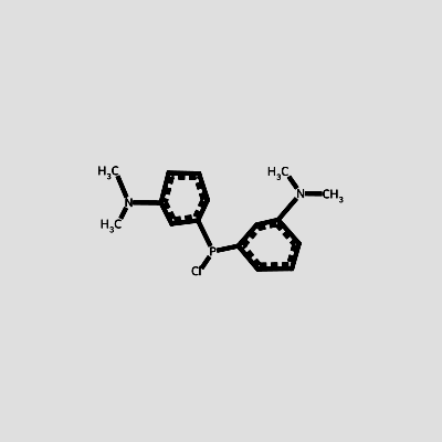 CN(C)c1cccc(P(Cl)c2cccc(N(C)C)c2)c1